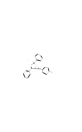 CC1(c2ccccc2)N=C(c2ccccc2)C2C(c3ccc([N+](=O)[O-])cc3)N21